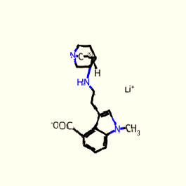 Cn1cc(CCN[C@@H]2CN3CCC2CC3)c2c(C(=O)[O-])cccc21.[Li+]